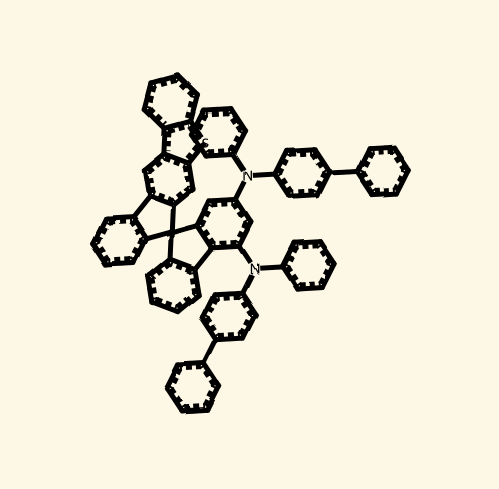 c1ccc(-c2ccc(N(c3ccccc3)c3cc(N(c4ccccc4)c4ccc(-c5ccccc5)cc4)c4c(c3)C3(c5ccccc5-c5cc6c(cc53)sc3ccccc36)c3ccccc3-4)cc2)cc1